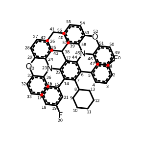 Fc1cccc(-c2c(C3CCCCC3)c(-c3cccc(F)c3)c(N3c4ccccc4Oc4ccccc43)c(C3CCCCC3)c2N2c3ccccc3Oc3ccccc32)c1